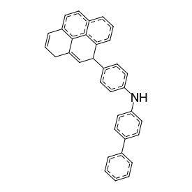 C1=Cc2ccc3cccc4c3c2C(=CC4c2ccc(Nc3ccc(-c4ccccc4)cc3)cc2)C1